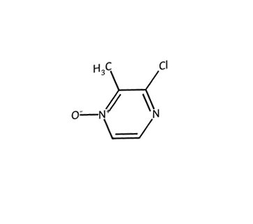 Cc1c(Cl)ncc[n+]1[O-]